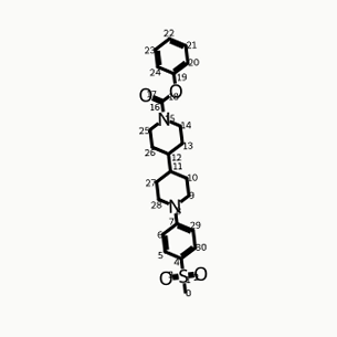 CS(=O)(=O)c1ccc(N2CCC(C3CCN(C(=O)Oc4ccccc4)CC3)CC2)cc1